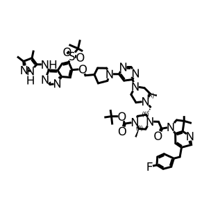 Cc1n[nH]c(Nc2ncnc3cc(OCC4CCN(c5cc(N6CCN(C[C@H]7CN(C(=O)OC(C)(C)C)[C@H](C)CN7CC(=O)N7CC(C)(C)c8ncc(Cc9ccc(F)cc9)cc87)[C@H](C)C6)ncn5)CC4)c(S(=O)(=O)C(C)(C)C)cc23)c1C